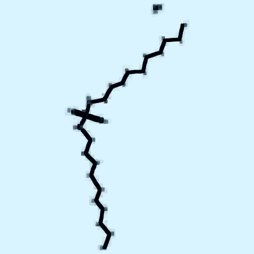 CCCCCCCCCCOS(=O)(=O)OCCCCCCCCCC.[LiH]